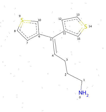 NC[CH]CC=C(c1ccsc1)c1ccsc1